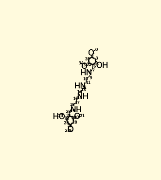 COc1cc(O)c(CNCCCNCCNCCCNCc2c(O)cc(OC)cc2OC)c(OC)c1